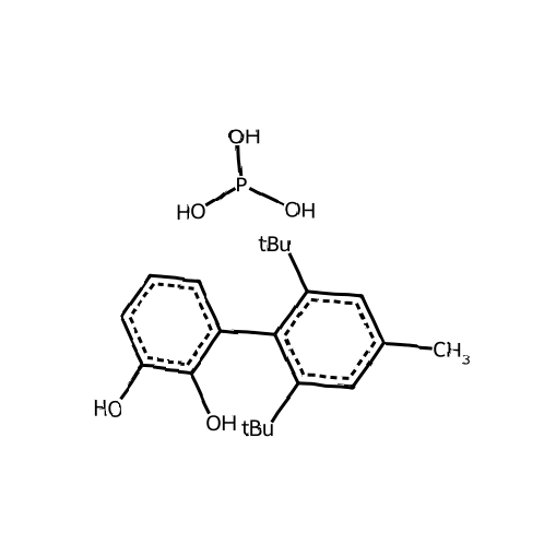 Cc1cc(C(C)(C)C)c(-c2cccc(O)c2O)c(C(C)(C)C)c1.OP(O)O